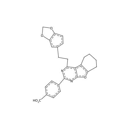 O=C(O)c1ccc(-c2nc(CCc3ccc4c(c3)OCO4)c3c4c(oc3n2)CCCC4)cc1